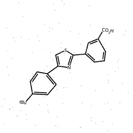 CC(C)(C)c1ccc(-c2csc(-c3cccc(C(=O)O)c3)n2)cc1